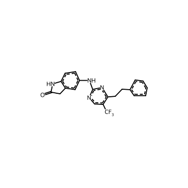 O=C1Cc2cc(Nc3ncc(C(F)(F)F)c(CCc4ccccc4)n3)ccc2N1